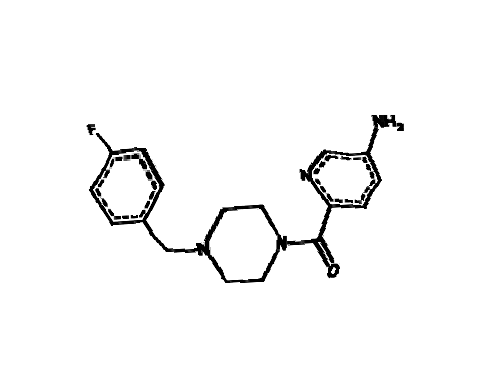 Nc1ccc(C(=O)N2CCN(Cc3ccc(F)cc3)CC2)nc1